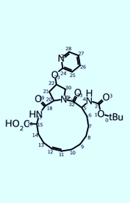 CC(C)(C)OC(=O)NC1CCCCCC=CCCC(C(=O)O)NC(=O)C2CC(Oc3ccccn3)C[N+]2C1=O